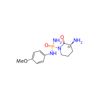 COc1ccc(NP(N)(=O)N2CCC[C@H](N)C2=O)cc1